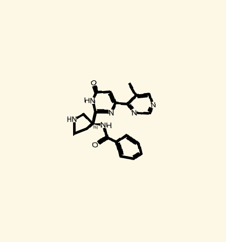 Cc1cncnc1-c1cc(=O)[nH]c([C@]2(NC(=O)c3ccccc3)CCNC2)n1